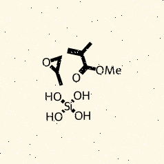 C=C(C)C(=O)OC.CC1CO1.O[Si](O)(O)O